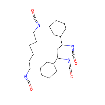 O=C=NC(CC(N=C=O)C1CCCCC1)C1CCCCC1.O=C=NCCCCCCN=C=O